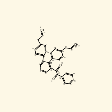 C=CCc1ccc(-c2cccc(C(=O)C(=O)c3ccccc3)c2-c2ccc(CC=C)cc2)cc1